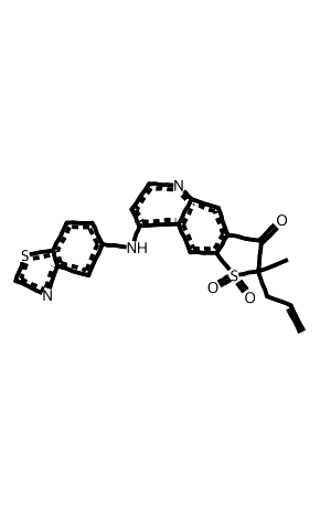 C=CCC1(C)C(=O)c2cc3nccc(Nc4ccc5scnc5c4)c3cc2S1(=O)=O